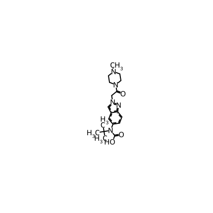 CN1CCN(C(=O)Cn2cc3cc(N(C(=O)O)C(C)(C)C)ccc3n2)CC1